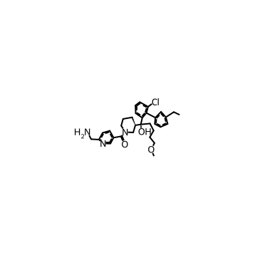 CCc1cccc(-c2c(Cl)cccc2[C@](O)(CCCCOC)[C@@H]2CCCN(C(=O)c3ccc(CN)nc3)C2)c1